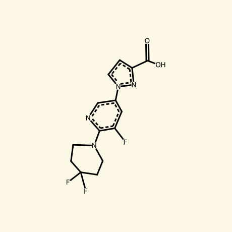 O=C(O)c1ccn(-c2cnc(N3CCC(F)(F)CC3)c(F)c2)n1